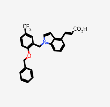 O=C(O)C=Cc1cccc2c1ccn2Cc1cc(C(F)(F)F)ccc1OCc1ccccc1